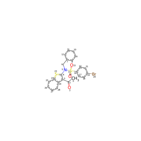 CC(=O)c1c(N(Cc2ccccc2)S(=O)(=O)c2ccc(Br)cc2)sc2ccccc12